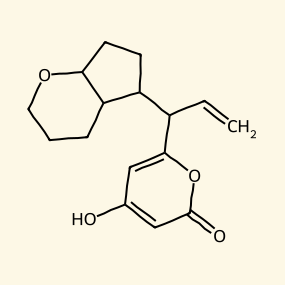 C=CC(c1cc(O)cc(=O)o1)C1CCC2OCCCC21